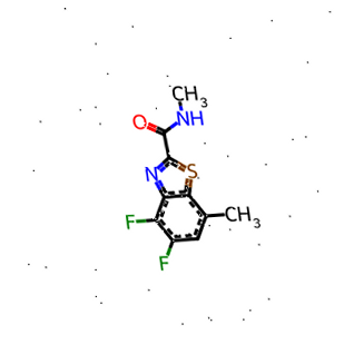 CNC(=O)c1nc2c(F)c(F)cc(C)c2s1